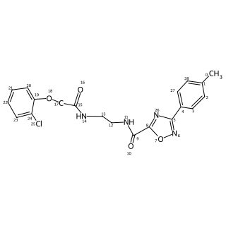 Cc1ccc(-c2noc(C(=O)NCCNC(=O)COc3ccccc3Cl)n2)cc1